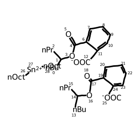 CCCCC(CCC)OC(=O)c1ccccc1C(=O)[O-].CCCCC(CCC)OC(=O)c1ccccc1C(=O)[O-].CCCCCCC[CH2][Sn+2][CH2]CCCCCCC